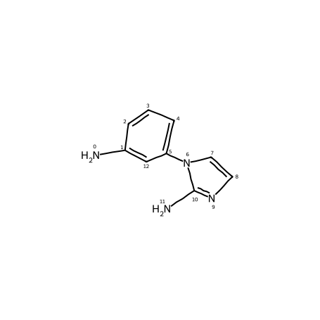 Nc1cccc(-n2ccnc2N)c1